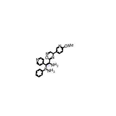 COc1ccc(C2C=NOC(/C(N)=C(\c3ccncc3)N(N)c3ccccc3)=N2)cn1